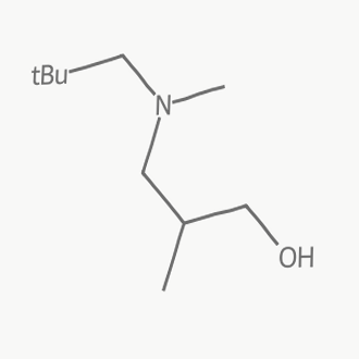 CC(CO)CN(C)CC(C)(C)C